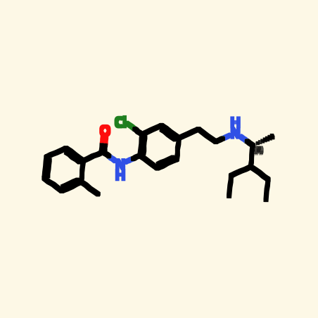 CCC(CC)[C@@H](C)NCCc1ccc(NC(=O)c2ccccc2C)c(Cl)c1